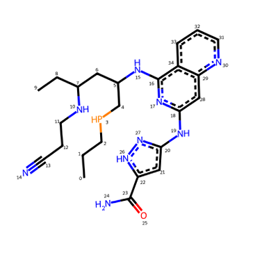 CCCPCC(CC(CC)NCCC#N)Nc1nc(Nc2cc(C(N)=O)[nH]n2)cc2ncccc12